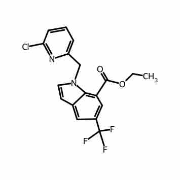 CCOC(=O)c1cc(C(F)(F)F)cc2ccn(Cc3cccc(Cl)n3)c12